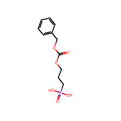 O=C(OCCCP(=O)(O)O)OCc1ccccc1